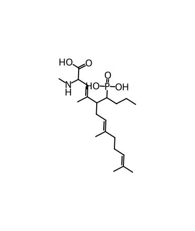 CCCC(C(C/C=C(\C)CCC=C(C)C)/C(C)=C/C(NC)C(=O)O)P(=O)(O)O